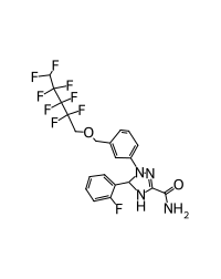 NC(=O)C1=NN(c2cccc(COCC(F)(F)C(F)(F)C(F)(F)C(F)F)c2)C(c2ccccc2F)N1